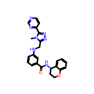 Cn1c(CNc2cccc(C(=O)N[C@@H]3CCOc4ccccc43)c2)nnc1-c1ccncn1